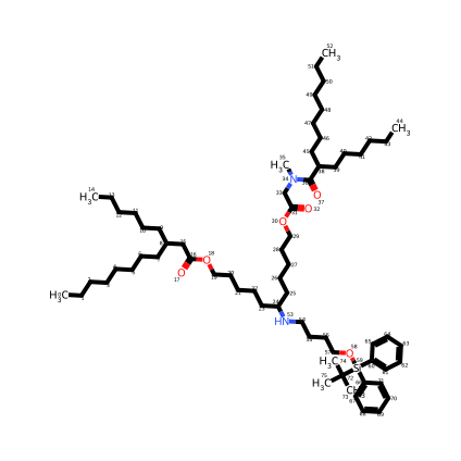 CCCCCCCCC(CCCCCC)CC(=O)OCCCCCC(CCCCCOC(=O)CN(C)C(=O)C(CCCCCC)CCCCCCCC)NCCCCO[Si](c1ccccc1)(c1ccccc1)C(C)(C)C